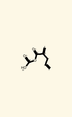 C=CCC(=C)C(=O)OC(=O)O